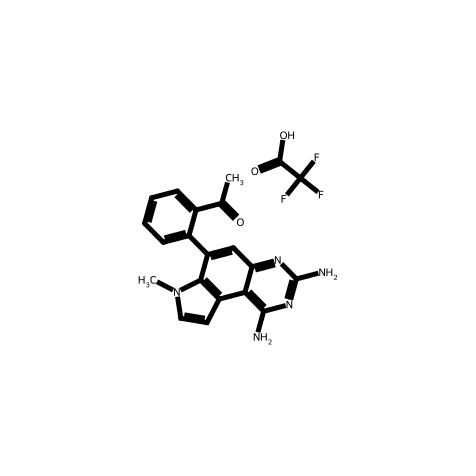 CC(=O)c1ccccc1-c1cc2nc(N)nc(N)c2c2ccn(C)c12.O=C(O)C(F)(F)F